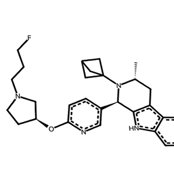 C[C@@H]1Cc2c([nH]c3ccccc23)[C@@H](c2ccc(O[C@H]3CCN(CCCF)C3)nc2)N1C12CC(C1)C2